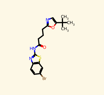 CC(C)(C)c1cnc(CCCC(=O)Nc2nc3ccc(Br)cc3s2)o1